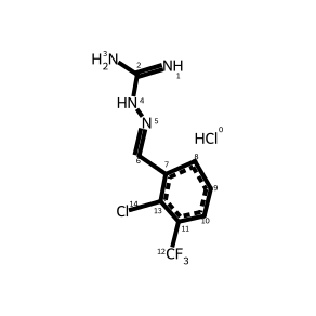 Cl.N=C(N)N/N=C/c1cccc(C(F)(F)F)c1Cl